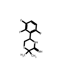 CC1(C)SCC(c2c(F)ccc(F)c2F)NC1=N